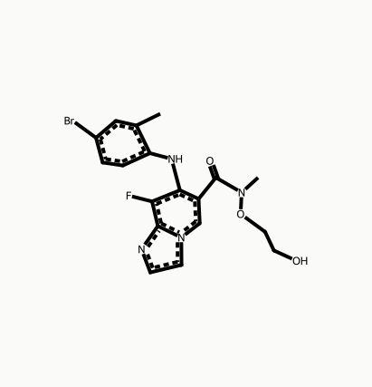 Cc1cc(Br)ccc1Nc1c(C(=O)N(C)OCCO)cn2ccnc2c1F